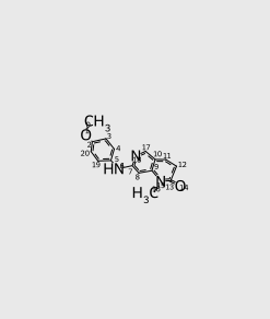 COc1ccc(Nc2cc3c(ccc(=O)n3C)cn2)cc1